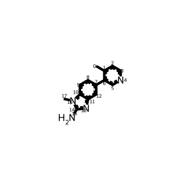 Cc1ccncc1-c1ccc2c(c1)nc(N)n2C